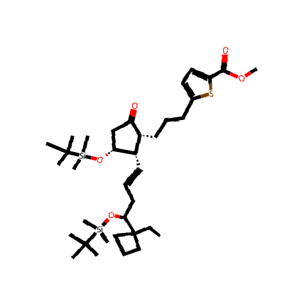 CCC1(C(CC=C[C@@H]2[C@H](O[Si](C)(C)C(C)(C)C)CC(=O)[C@@H]2CCCc2ccc(C(=O)OC)s2)O[Si](C)(C)C(C)(C)C)CCC1